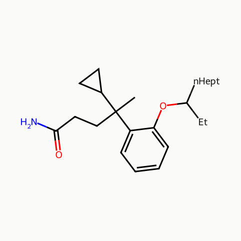 CCCCCCCC(CC)Oc1ccccc1C(C)(CCC(N)=O)C1CC1